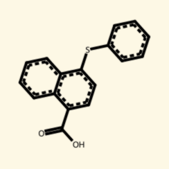 O=C(O)c1ccc(Sc2ccccc2)c2ccccc12